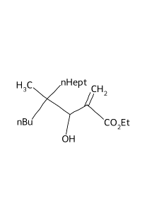 C=C(C(=O)OCC)C(O)C(C)(CCCC)CCCCCCC